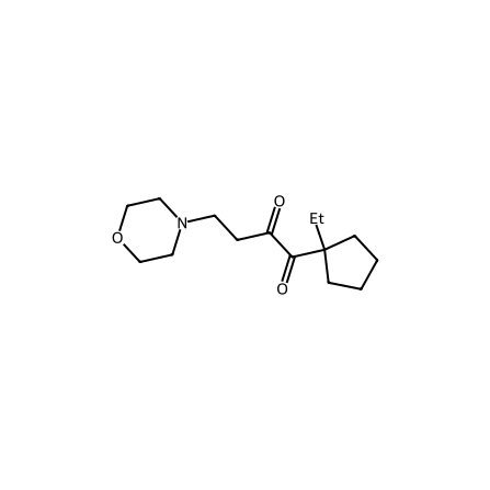 CCC1(C(=O)C(=O)CCN2CCOCC2)CCCC1